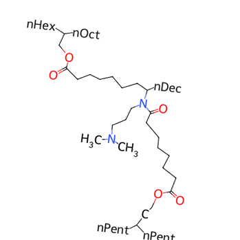 CCCCCCCCCCC(CCCCCCC(=O)OCC(CCCCCC)CCCCCCCC)N(CCCN(C)C)C(=O)CCCCCCC(=O)OCCC(CCCCC)CCCCC